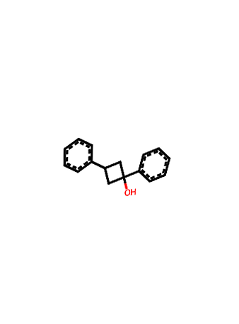 OC1(c2ccccc2)CC(c2ccccc2)C1